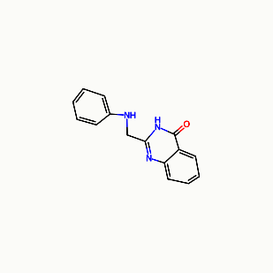 O=c1[nH]c(CNc2ccccc2)nc2ccccc12